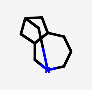 C1CC2CC3CC2CN(C1)C3